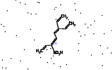 C=CC(C=C)=C/C=C(\C=C)S(=O)(=O)O